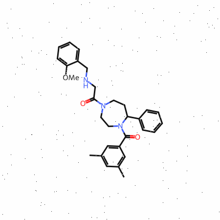 COc1ccccc1CNCC(=O)N1CCC(c2ccccc2)N(C(=O)c2cc(C)cc(C)c2)CC1